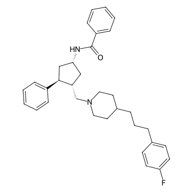 O=C(N[C@@H]1C[C@H](CN2CCC(CCCc3ccc(F)cc3)CC2)[C@@H](c2ccccc2)C1)c1ccccc1